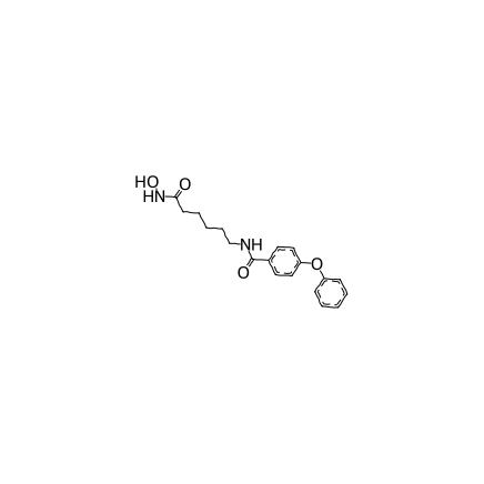 O=C(CCCCCNC(=O)c1ccc(Oc2ccccc2)cc1)NO